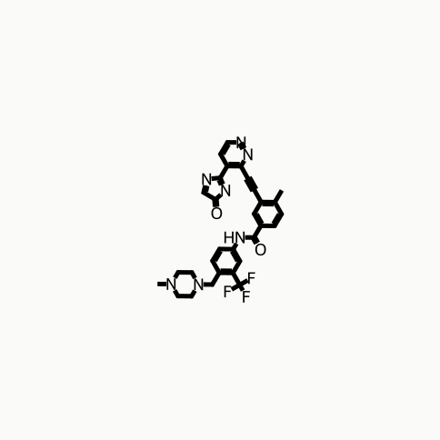 Cc1ccc(C(=O)Nc2ccc(CN3CCN(C)CC3)c(C(F)(F)F)c2)cc1C#Cc1nnccc1C1=NC(=O)C=N1